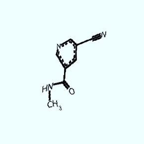 CNC(=O)c1cncc(C#N)c1